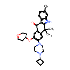 CC1(C)c2cc(N3CCN(C4CCC4)CC3)c(OC3CCOCC3)cc2C(=O)c2c1[nH]c1cc(C#N)ccc21